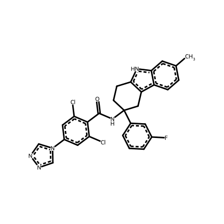 Cc1ccc2c3c([nH]c2c1)CCC(NC(=O)c1c(Cl)cc(-n2cnnc2)cc1Cl)(c1cccc(F)c1)C3